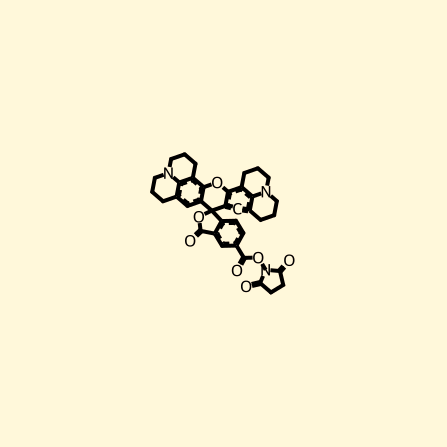 O=C(ON1C(=O)CCC1=O)c1ccc2c(c1)C(=O)OC21c2cc3c4c(c2Oc2c1cc1c5c2CCCN5CCC1)CCCN4CCC3